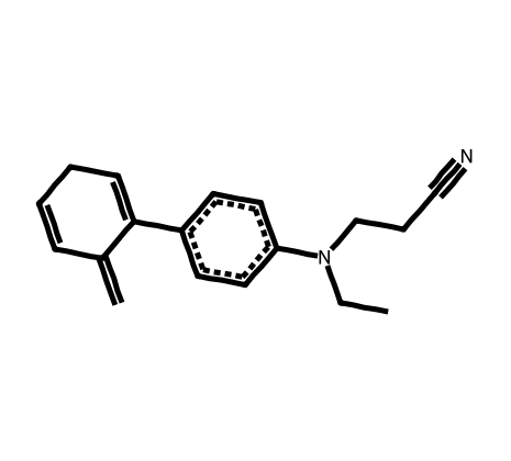 C=C1C=CCC=C1c1ccc(N(CC)CCC#N)cc1